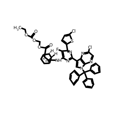 CCOC(=O)OCOC(=O)[C@@H]1C2CCC(CC2)[C@H]1Nc1nc(-c2cn(C(c3ccccc3)(c3ccccc3)c3ccccc3)c3ncc(Cl)nc23)nc(-c2ccc(Cl)s2)c1F